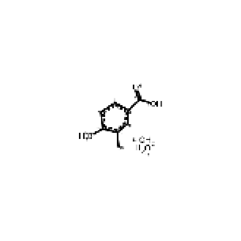 Bc1ccc(C(=O)O)cc1C.O.O